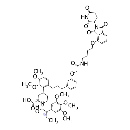 C/C=C(\c1cc(OC)c(OC)c(OC)c1)C(O)N1CCC(c2c(CCCc3cccc(OCC(=O)NCCCCOc4cccc5c4C(=O)N(C4CCC(=O)NC4=O)C5=O)c3)ccc(OC)c2OC)C[C@H]1C(=O)O